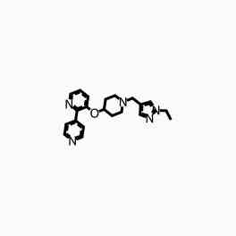 CCn1cc(CN2CCC(Oc3cccnc3-c3ccncc3)CC2)cn1